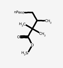 CCCCCCC(C)C(C)(C)C(=O)O[SiH3]